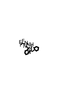 Fc1ccccc1Cc1nc(-c2nc(C(F)(F)F)n[nH]2)c2ccccn12